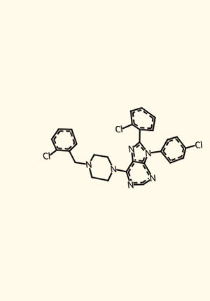 Clc1ccc(-n2c(-c3ccccc3Cl)nc3c(N4CCN(Cc5ccccc5Cl)CC4)ncnc32)cc1